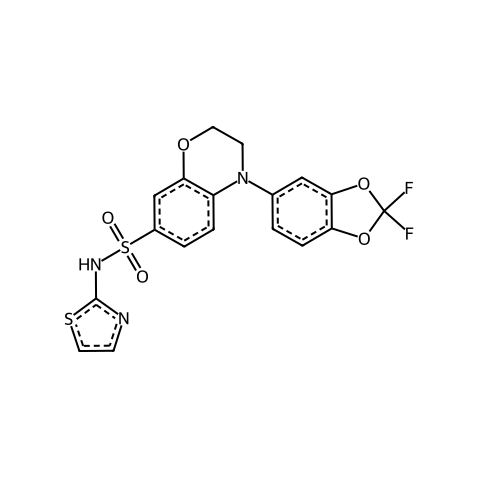 O=S(=O)(Nc1nccs1)c1ccc2c(c1)OCCN2c1ccc2c(c1)OC(F)(F)O2